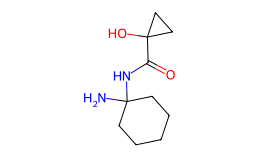 NC1(NC(=O)C2(O)CC2)CCCCC1